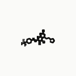 O=c1cc(CCC2CCCC2)c2c(=O)[nH]c(ON=C3CCC(C(F)(F)F)CC3)nc2o1